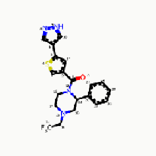 O=C(c1csc(-c2cn[nH]c2)c1)N1CCN(CC(F)(F)F)CC1c1ccccc1